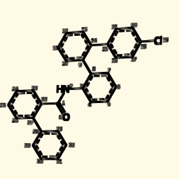 O=C(Nc1ccccc1-c1ccccc1-c1ccc(Cl)cc1)c1ccccc1-c1ccccc1